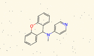 CN(c1ccncc1)C1c2ccccc2Oc2ccccc21